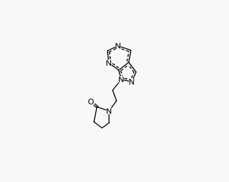 O=C1CCCN1CCn1ncc2cncnc21